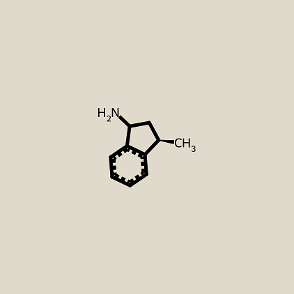 C[C@@H]1CC(N)c2ccccc21